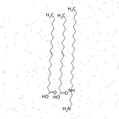 CCCCCCCCC=CCCCCCCCC(=O)O.CCCCCCCCC=CCCCCCCCC(=O)O.CCCCCCCCCCCCCCCCCCNCCCN